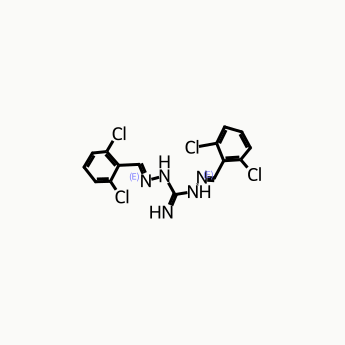 N=C(N/N=C/c1c(Cl)cccc1Cl)N/N=C/c1c(Cl)cccc1Cl